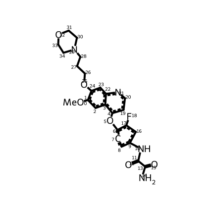 COc1cc2c(Oc3ccc(NC(=O)C(N)=O)cc3F)ccnc2cc1OCCCN1CCOCC1